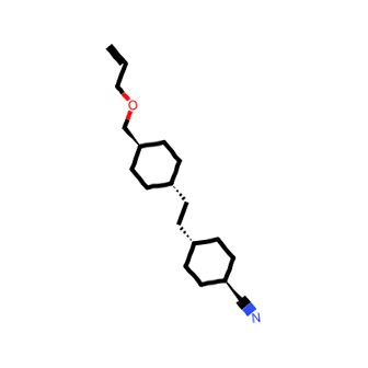 C=CCOC[C@H]1CC[C@H](CC[C@H]2CC[C@H](C#N)CC2)CC1